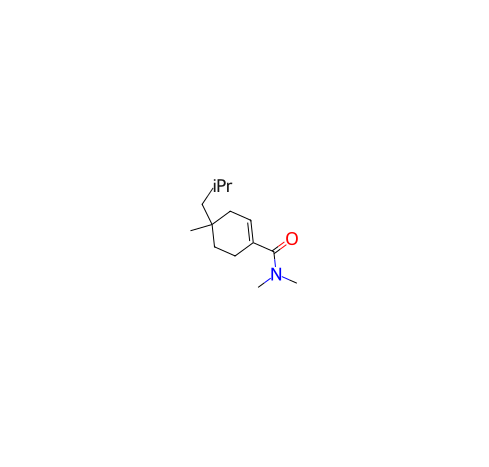 CC(C)CC1(C)CC=C(C(=O)N(C)C)CC1